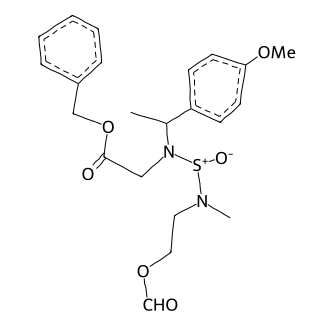 COc1ccc(C(C)N(CC(=O)OCc2ccccc2)[S+]([O-])N(C)CCOC=O)cc1